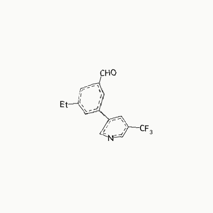 CCc1cc(C=O)cc(-c2cncc(C(F)(F)F)c2)c1